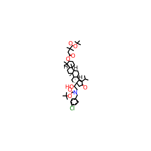 CC(C)C1=C2[C@H]3CC[C@@H]4C5(C)CC[C@H](OC(=O)CC(C)(C)C(=O)OC(C)(C)C)C(C)(C)[C@@H]5CC[C@@]4(C)[C@]3(C)CC[C@@]2([C@@H](O)CN(Cc2ccc(Cl)cc2)C(=O)OC(C)(C)C)CC1=O